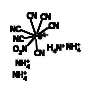 N#[C][Fe-4]([C]#N)([C]#N)([C]#N)([C]#N)([C]#N)[N+](=O)[O-].[NH4+].[NH4+].[NH4+].[NH4+]